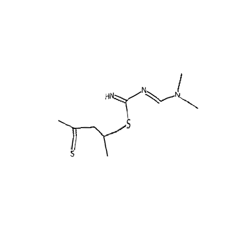 CC(=S)CC(C)SC(=N)/N=C/N(C)C